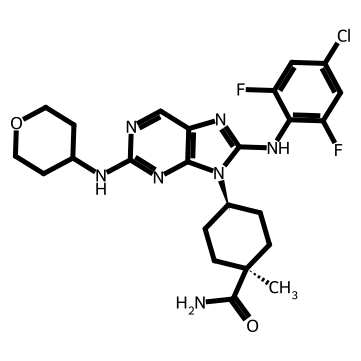 C[C@]1(C(N)=O)CC[C@@H](n2c(Nc3c(F)cc(Cl)cc3F)nc3cnc(NC4CCOCC4)nc32)CC1